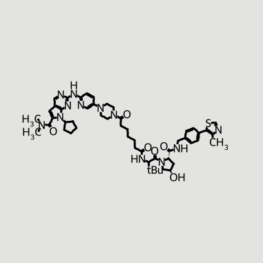 Cc1ncsc1-c1ccc(CNC(=O)[C@@H]2C[C@@H](O)CN2C(=O)C(NC(=O)CCCCCC(=O)N2CCN(c3ccc(Nc4ncc5cc(C(=O)N(C)C)n(C6CCCC6)c5n4)nc3)CC2)C(C)(C)C)cc1